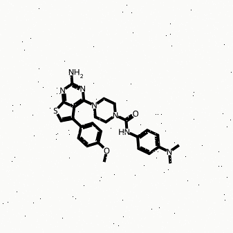 COc1ccc(-c2csc3nc(N)nc(N4CCN(C(=O)Nc5ccc(N(C)C)cc5)CC4)c23)cc1